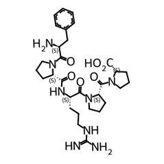 N=C(N)NCCC[C@H](NC(=O)[C@@H]1CCCN1C(=O)[C@@H](N)Cc1ccccc1)C(=O)N1CCC[C@H]1C(=O)N1CCC[C@H]1C(=O)O